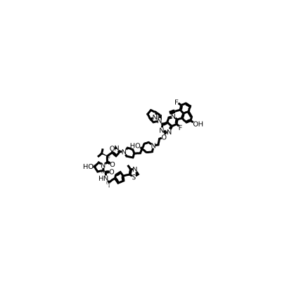 C#Cc1c(F)ccc2cc(O)cc(-c3ncc4c(N5CC6CCC(C5)N6)nc(OCCN5CCC(O)(CC6CCN(c7cc([C@@H](C(=O)N8C[C@H](O)C[C@H]8C(=O)N[C@@H](C)c8ccc(-c9scnc9C)cc8)C(C)C)on7)CC6)CC5)nc4c3F)c12